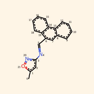 Cc1cc(N=Cc2cc3ccccc3c3ccccc23)no1